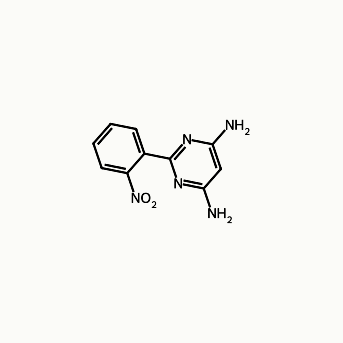 Nc1cc(N)nc(-c2ccccc2[N+](=O)[O-])n1